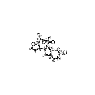 CS(=O)(=O)n1c(-c2ccoc2C(F)F)cc2cnc(Cl)cc21